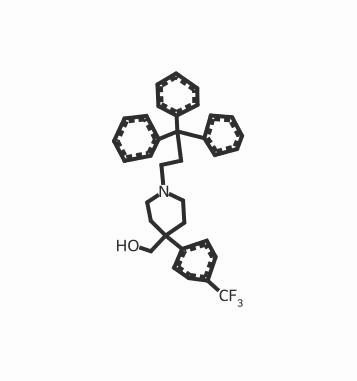 OCC1(c2ccc(C(F)(F)F)cc2)CCN(CCC(c2ccccc2)(c2ccccc2)c2ccccc2)CC1